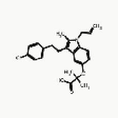 C=CCn1c(C)c(CCc2ccc(Cl)cc2)c2cc(OC(C)(C)C(=O)O)ccc21